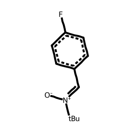 CC(C)(C)[N+]([O-])=Cc1ccc(F)cc1